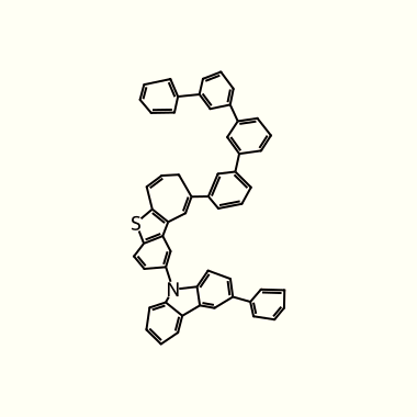 C1=Cc2sc3ccc(-n4c5ccccc5c5cc(-c6ccccc6)ccc54)cc3c2C=C(c2cccc(-c3cccc(-c4cccc(-c5ccccc5)c4)c3)c2)C1